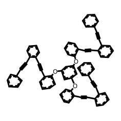 C(#Cc1ccccc1C#Cc1ccccc1Oc1cc(Oc2ccccc2C#Cc2ccccc2C#Cc2ccccc2)cc(Oc2ccccc2C#Cc2ccccc2C#Cc2ccccc2)c1)c1ccccc1